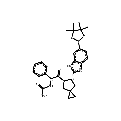 COC(=O)N[C@H](C(=O)N1CC2(CC2)C[C@H]1c1nc2ccc(B3OC(C)(C)C(C)(C)O3)cc2[nH]1)c1ccccc1